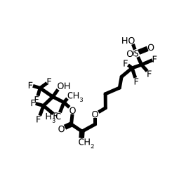 C=C(COCCCCC(F)(F)C(F)(F)S(=O)(=O)O)C(=O)OC(C)(C)C(O)(C(F)(F)F)C(F)(F)F